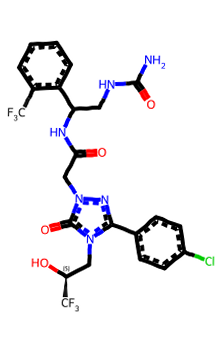 NC(=O)NCC(NC(=O)Cn1nc(-c2ccc(Cl)cc2)n(C[C@H](O)C(F)(F)F)c1=O)c1ccccc1C(F)(F)F